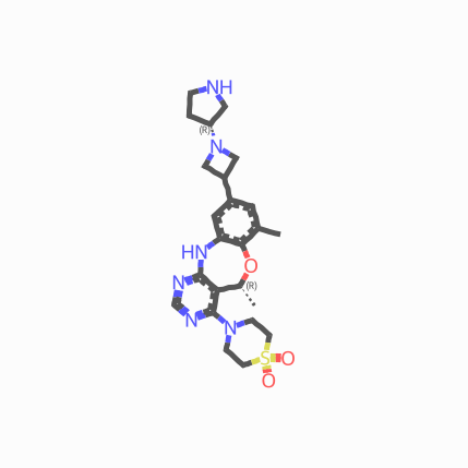 Cc1cc(C2CN([C@@H]3CCNC3)C2)cc2c1O[C@H](C)c1c(ncnc1N1CCS(=O)(=O)CC1)N2